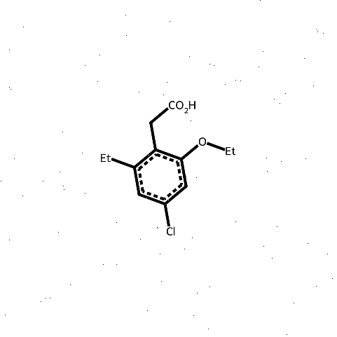 CCOc1cc(Cl)cc(CC)c1CC(=O)O